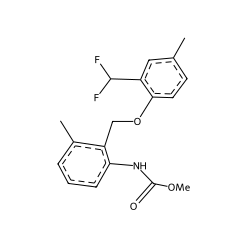 COC(=O)Nc1cccc(C)c1COc1ccc(C)cc1C(F)F